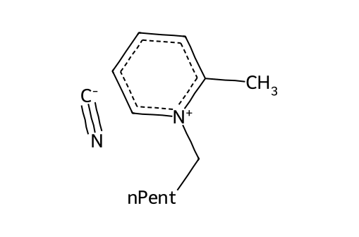 CCCCCC[n+]1ccccc1C.[C-]#N